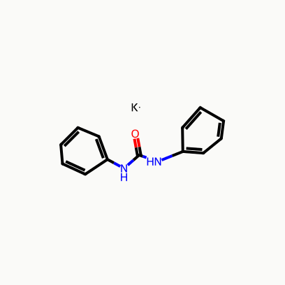 O=C(Nc1ccccc1)Nc1ccccc1.[K]